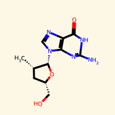 C[C@H]1C[C@@H](CO)O[C@H]1n1cnc2c(=O)[nH]c(N)nc21